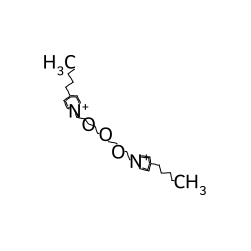 CCCCCc1cc[n+](CCOCCOCCOCC[n+]2ccc(CCCCC)cc2)cc1